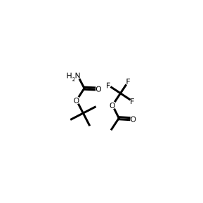 CC(=O)OC(F)(F)F.CC(C)(C)OC(N)=O